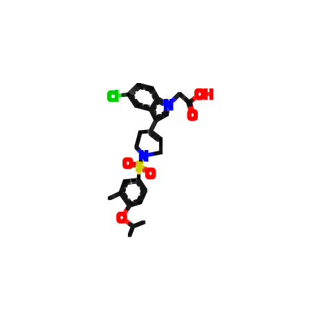 Cc1cc(S(=O)(=O)N2CC=C(c3cn(CC(=O)O)c4ccc(Cl)cc34)CC2)ccc1OC(C)C